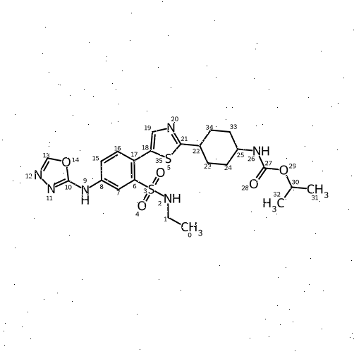 CCNS(=O)(=O)c1cc(Nc2nnco2)ccc1-c1cnc(C2CCC(NC(=O)OC(C)C)CC2)s1